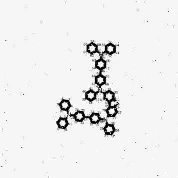 c1ccc(N(c2ccccc2)c2ccc(-c3ccc(N(c4ccccc4)c4ccc5sc6ccc(N(c7ccccc7)c7ccc(-c8ccc(N(c9ccccc9)c9ccccc9)cc8)cc7)cc6c5c4)cc3)cc2)cc1